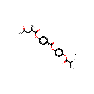 C=C(C)C(=O)Oc1ccc(OC(=O)c2ccc(OC(=O)C(=C)CC(=O)OC)cc2)cc1